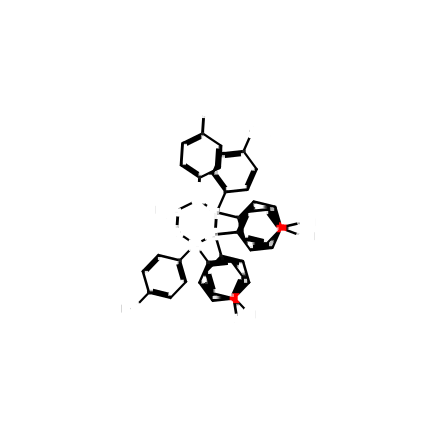 Cc1ccc([SiH]2[SiH2]O[Si](c3ccc(C)cc3)(c3ccc(C)cc3)[Si](c3ccc(C)cc3)(c3ccc(C)cc3)[Si]2(c2ccc(C)cc2)c2ccc(C)cc2)cc1